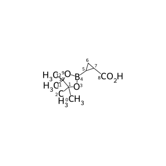 CC1(C)OB(C2CC2C(=O)O)OC1(C)C